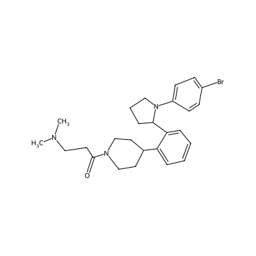 CN(C)CCC(=O)N1CCC(c2ccccc2C2CCCN2c2ccc(Br)cc2)CC1